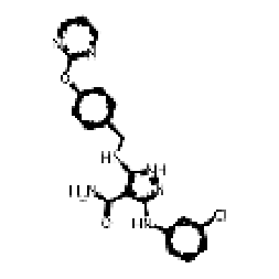 NC(=O)c1c(Nc2cccc(Cl)c2)n[nH]c1NCc1ccc(Oc2ncccn2)cc1